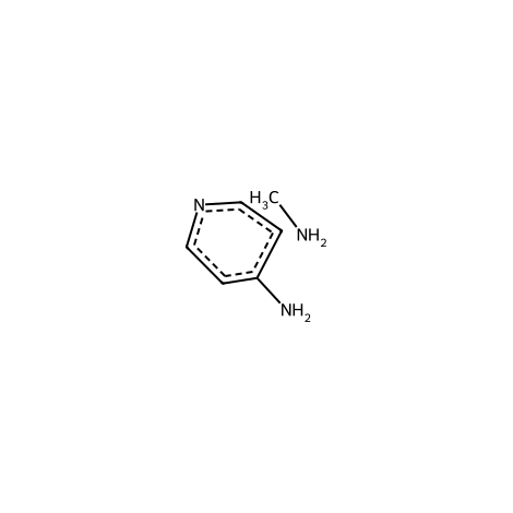 CN.Nc1ccncc1